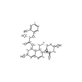 CC(C)c1ccccc1O[C@@H](C)C(=O)OC1CC(O)C=C2C=CC(C)C(CC[C@@H]3C[C@@H](O)CC(=O)O3)C21